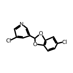 Clc1cncc(C2Oc3ccc(Cl)cc3O2)c1